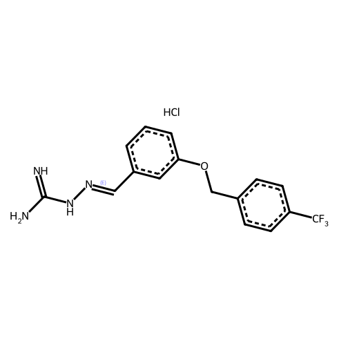 Cl.N=C(N)N/N=C/c1cccc(OCc2ccc(C(F)(F)F)cc2)c1